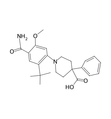 COc1cc(N2CCC(C(=O)O)(c3ccccc3)CC2)c(C(C)(C)C)cc1C(N)=O